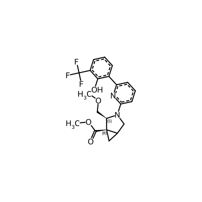 COC[C@H]1N(c2cccc(-c3cccc(C(F)(F)F)c3O)n2)CC2C[C@@]21C(=O)OC